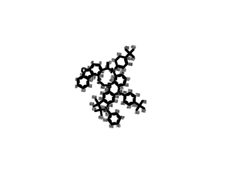 C=C1c2ccc3oc4ccccc4c3c2SCB2c3cc4c(cc3N(c3ccc(C(C)(C)C)cc3)c3cccc(c32)N1C1=CC=C(C(C)(C)C)CC1)N(c1ccccc1)C(C)(C)C4(C)C